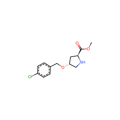 COC(=O)[C@@H]1C[C@@H](OCc2ccc(Cl)cc2)CN1